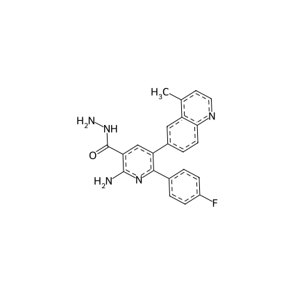 Cc1ccnc2ccc(-c3cc(C(=O)NN)c(N)nc3-c3ccc(F)cc3)cc12